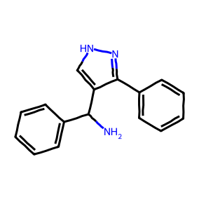 NC(c1ccccc1)c1c[nH]nc1-c1ccccc1